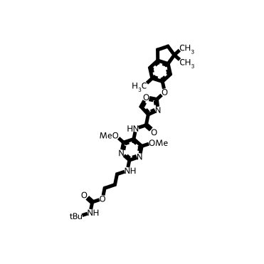 COc1nc(NCCCOC(=O)NC(C)(C)C)nc(OC)c1NC(=O)c1coc(Oc2cc3c(cc2C)CCC3(C)C)n1